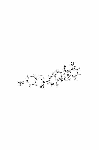 O=C(N[C@H]1CC[C@@H](C(F)(F)F)CC1)c1ccc2[nH]c(Nc3c(Cl)cccc3Cl)nc2c1